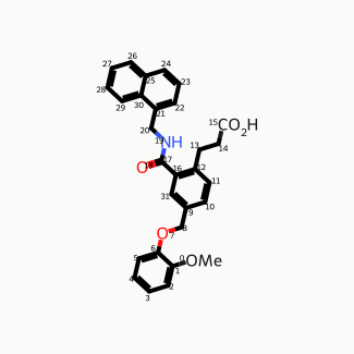 COc1ccccc1OCc1ccc(CCC(=O)O)c(C(=O)NCc2cccc3ccccc23)c1